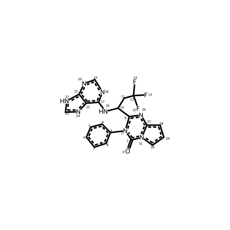 O=c1n(-c2ccccc2)c(C(CC(F)(F)F)Nc2ncnc3[nH]cnc23)nc2cccn12